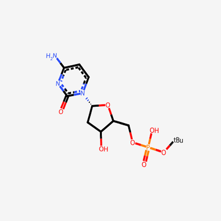 CC(C)(C)OP(=O)(O)OCC1O[C@@H](n2ccc(N)nc2=O)CC1O